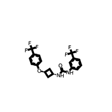 O=C(Nc1cccc(C(F)(F)F)c1)N[C@H]1C[C@H](Oc2ccc(C(F)(F)F)cc2)C1